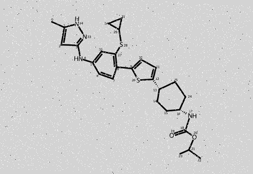 Cc1cc(Nc2ccc(-c3ccc([C@H]4CC[C@@H](NC(=O)OC(C)C)CC4)s3)c(SC3CC3)c2)n[nH]1